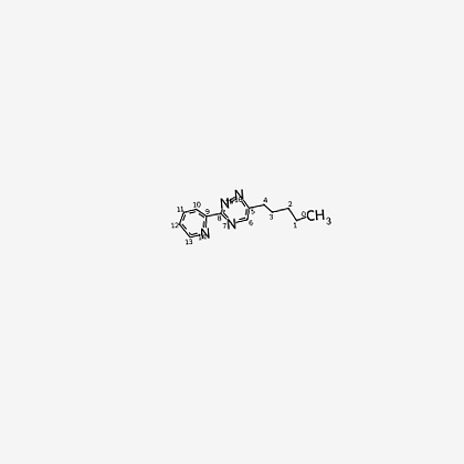 CCCCCc1cnc(-c2ccccn2)nn1